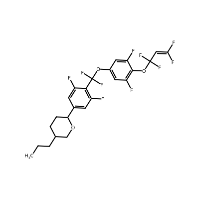 CCCC1CCC(c2cc(F)c(C(F)(F)Oc3cc(F)c(OC(F)(F)C=C(F)F)c(F)c3)c(F)c2)OC1